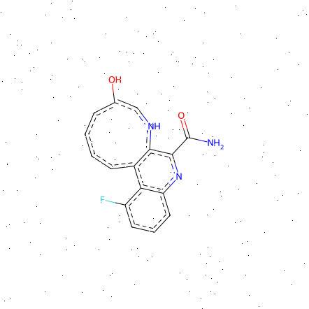 NC(=O)c1nc2cccc(F)c2c2ccccc(O)c[nH]c12